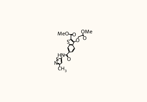 COC(=O)COc1c(C(=O)OC)sc2cc(C(=O)Nc3cc(C)ns3)ccc12